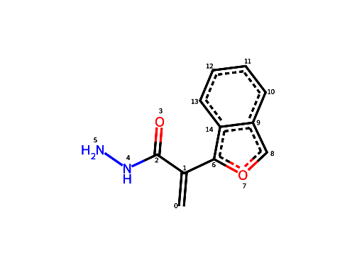 C=C(C(=O)NN)c1occ2ccccc12